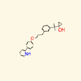 CC(C)(c1cccc(CCCOC2=CC=C=C(C3=CCC=CN3)C=C2)c1)C1(O)CC1